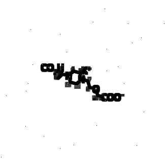 CC(C(=O)O)N1CCN(CCOCC(=O)[O-])CC1.[K+]